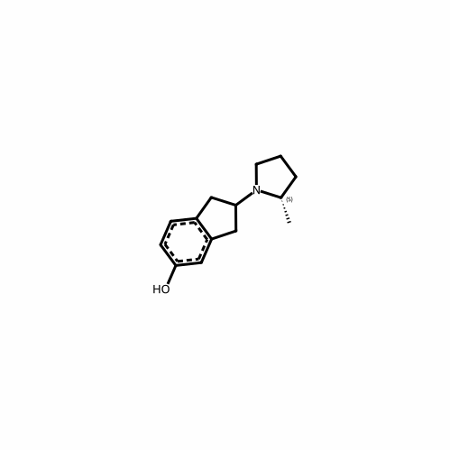 C[C@H]1CCCN1C1Cc2ccc(O)cc2C1